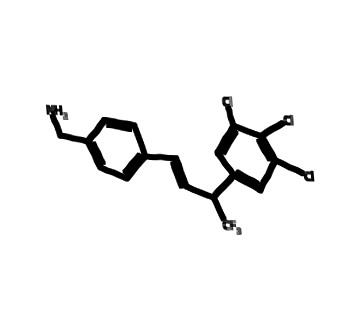 NCc1ccc(C=CC(c2cc(Cl)c(Cl)c(Cl)c2)C(F)(F)F)cc1